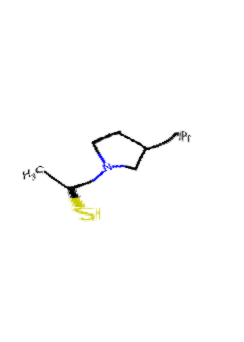 CC(C)C1CCN(C(C)S)C1